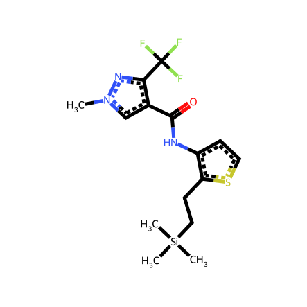 Cn1cc(C(=O)Nc2ccsc2CC[Si](C)(C)C)c(C(F)(F)F)n1